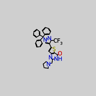 O=c1[nH]c(CN2CCCC2)nc2cc(-c3cn(C(c4ccccc4)(c4ccccc4)c4ccccc4)nc3C(F)(F)F)sc12